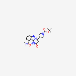 CN(C)C(=O)c1cccc2nn3c(C4CCN(C(=O)OC(C)(C)C)CC4)cc(=O)[nH]c3c12